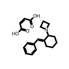 C(=C1/CCCCC1N1CCC1)/c1ccccc1.O=C(O)/C=C\C(=O)O